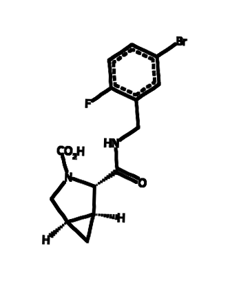 O=C(NCc1cc(Br)ccc1F)[C@@H]1[C@H]2C[C@H]2CN1C(=O)O